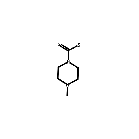 CN1CCN(C([S])=S)CC1